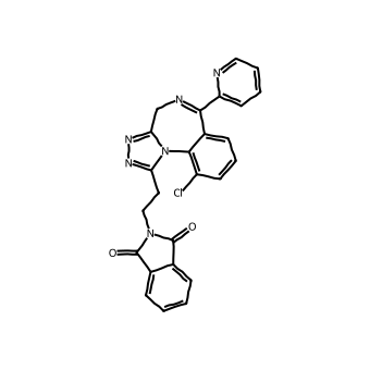 O=C1c2ccccc2C(=O)N1CCc1nnc2n1-c1c(Cl)cccc1C(c1ccccn1)=NC2